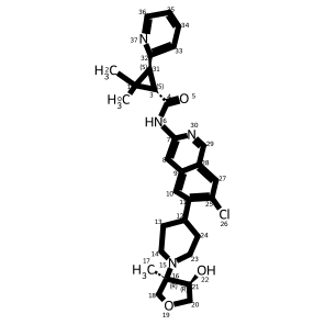 CC1(C)[C@@H](C(=O)Nc2cc3cc(C4CCN([C@]5(C)COC[C@@H]5O)CC4)c(Cl)cc3cn2)[C@@H]1c1ccccn1